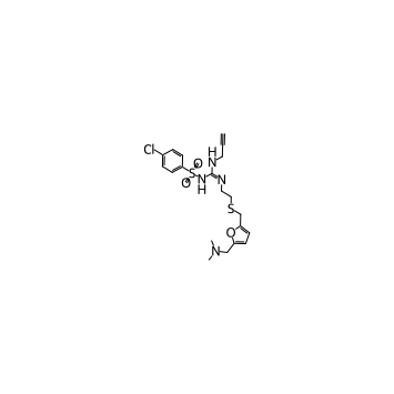 C#CCN/C(=N/CCSCc1ccc(CN(C)C)o1)NS(=O)(=O)c1ccc(Cl)cc1